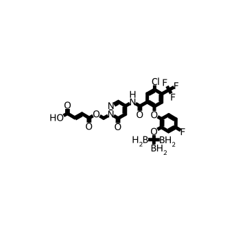 BC(B)(B)Oc1cc(F)ccc1Oc1cc(C(F)(F)F)c(Cl)cc1C(=O)Nc1cnn(COC(=O)/C=C/C(=O)O)c(=O)c1